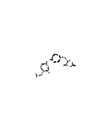 NC(Cc1ccc(Oc2ccc(CC3OC(=O)NC3=O)cc2)cc1F)C(=O)O